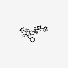 O=C(Nc1nccs1)[C@H](CC1CCCCC1)N1CCN(S(=O)(=O)c2ccc(-c3ccno3)s2)CC1=O